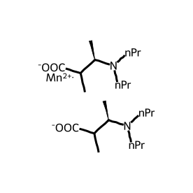 CCCN(CCC)[C@H](C)C(C)C(=O)[O-].CCCN(CCC)[C@H](C)C(C)C(=O)[O-].[Mn+2]